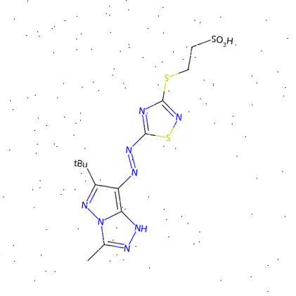 Cc1n[nH]c2c(/N=N/c3nc(SCCS(=O)(=O)O)ns3)c(C(C)(C)C)nn12